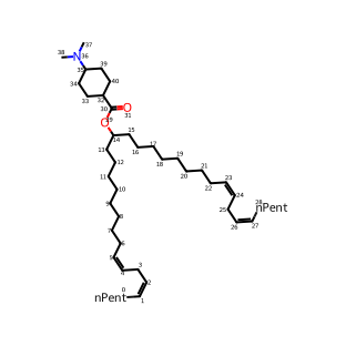 CCCCC/C=C\C/C=C\CCCCCCCCC(CCCCCCCC/C=C\C/C=C\CCCCC)OC(=O)C1CCC(N(C)C)CC1